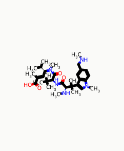 CNCc1ccc2c(c1)c(C(C)(C)[C@H](NC)C(=O)N[C@H](C(=O)N(C)[C@H](/C=C(\C)C(=O)O)C(C)C)C(C)(C)C)cn2C